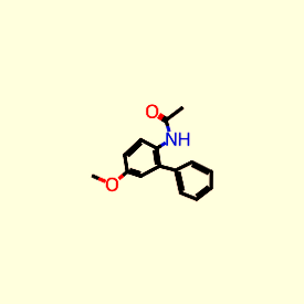 COc1ccc(NC(C)=O)c(-c2ccccc2)c1